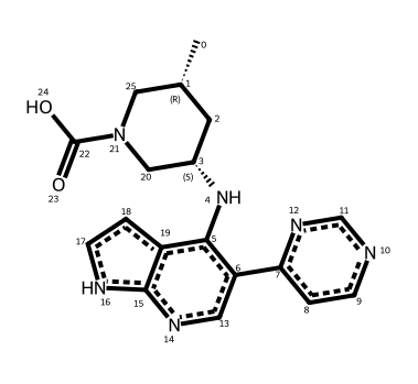 C[C@@H]1C[C@H](Nc2c(-c3ccncn3)cnc3[nH]ccc23)CN(C(=O)O)C1